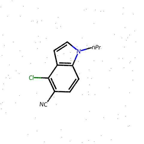 CCCn1ccc2c(Cl)c(C#N)ccc21